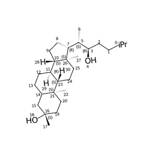 CC(C)CC[C@@H](O)[C@@H](C)[C@H]1CC[C@H]2[C@@H]3CCC4C[C@@](C)(O)CC[C@]4(C)[C@H]3CC[C@]12C